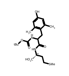 CSCC[C@@H](NC(=O)C(Cc1c(C)cc(O)cc1C)NC(=O)OC(C)(C)C)C(=O)O